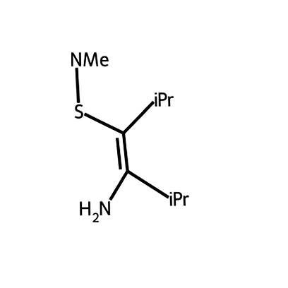 CNS/C(=C(\N)C(C)C)C(C)C